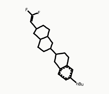 CCCCc1ccc2c(c1)CCC(C1CCC3CC(C=C(F)F)CCC3C1)C2